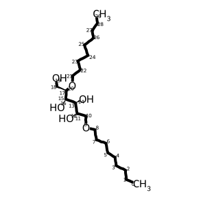 CCCCCCCCCOC[C@H](O)[C@@H](O)[C@H](O)[C@@H](CO)OCCCCCCCCC